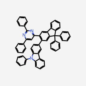 c1ccc(-c2cc(-c3cc4c(cc3-c3ccc5c(c3)c3ccccc3n5-c3ccccc3)C(c3ccccc3)(c3ccccc3)c3ccccc3-4)nc(-c3ccccc3)n2)cc1